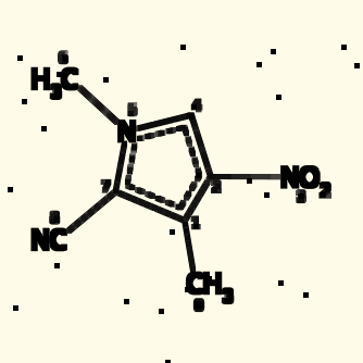 Cc1c([N+](=O)[O-])cn(C)c1C#N